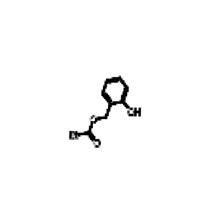 CCC(=O)OCc1ccccc1O